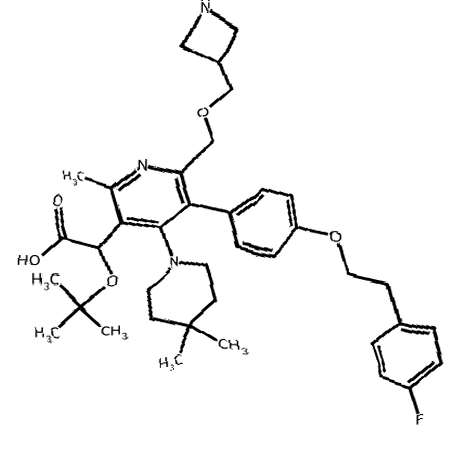 Cc1nc(COCC2CNC2)c(-c2ccc(OCCc3ccc(F)cc3)cc2)c(N2CCC(C)(C)CC2)c1C(OC(C)(C)C)C(=O)O